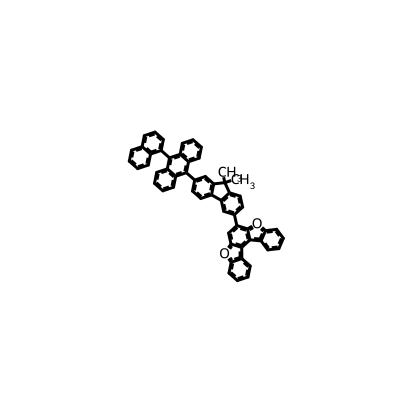 CC1(C)c2ccc(-c3cc4oc5ccccc5c4c4c3oc3ccccc34)cc2-c2ccc(-c3c4ccccc4c(-c4cccc5ccccc45)c4ccccc34)cc21